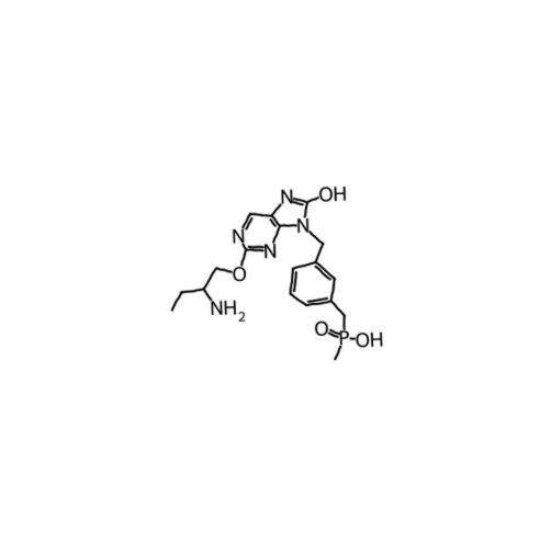 CCC(N)COc1ncc2nc(O)n(Cc3cccc(CP(C)(=O)O)c3)c2n1